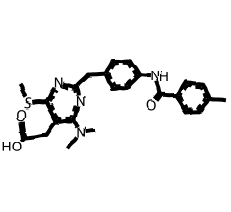 CSc1nc(Cc2ccc(NC(=O)c3ccc(C)cc3)cc2)nc(N(C)C)c1CC(=O)O